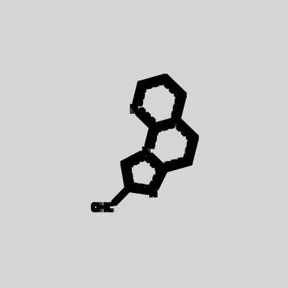 O=Cc1cn2c(ccc3cccnc32)n1